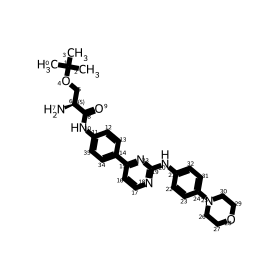 CC(C)(C)OC[C@H](N)C(=O)Nc1ccc(-c2ccnc(Nc3ccc(N4CCOCC4)cc3)n2)cc1